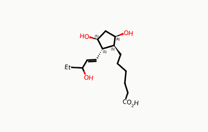 CCC(O)C=C[C@H]1[C@H](CCCCCC(=O)O)[C@H](O)C[C@@H]1O